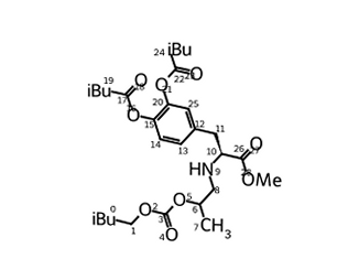 CCC(C)COC(=O)OC(C)CN[C@@H](Cc1ccc(OC(=O)C(C)CC)c(OC(=O)C(C)CC)c1)C(=O)OC